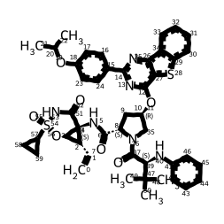 C=C[C@@H]1C[C@]1(NC(=O)[C@@H]1C[C@@H](Oc2nc(-c3ccc(OC(C)C)cc3)nc3c2sc2ccccc23)CN1C(=O)[C@@H](Nc1ccccc1)C(C)(C)C)C(=O)NS(=O)(=O)C1CC1